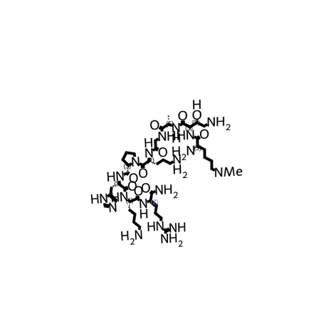 CNCCCC[C@H](N)C(=O)N[C@H](C(=O)N[C@@H](C)C(=O)NCC(=O)N[C@H](CCCN)C(=O)N1CCC[C@H]1C(=O)N[C@@H](Cc1cnc[nH]1)C(=O)N[C@@H](CCCCN)C(=O)N/C(=C\CCNC(=N)N)C(N)=O)[C@@H](O)CN